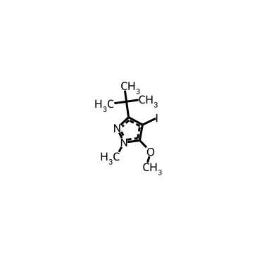 COc1c(I)c(C(C)(C)C)nn1C